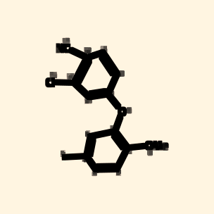 COc1ccc(C)cc1Oc1ccc(C#N)c(Cl)c1